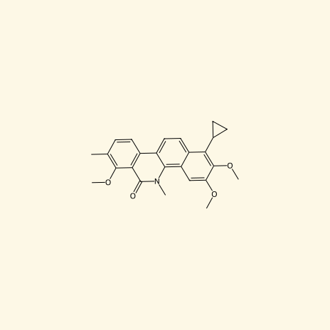 COc1cc2c(ccc3c4ccc(C)c(OC)c4c(=O)n(C)c23)c(C2CC2)c1OC